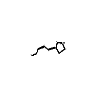 CC/C=C\C=C1\CCNC1